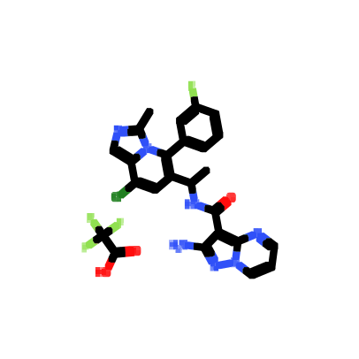 Cc1ncc2c(Cl)cc(C(C)NC(=O)c3c(N)nn4cccnc34)c(-c3cccc(F)c3)n12.O=C(O)C(F)(F)F